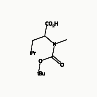 CC(C)CC(C(=O)O)N(C)C(=O)OC(C)(C)C